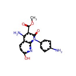 COC(=O)c1c(N)c2ccc(O)nc2n(-c2ccc(N)cc2)c1=O